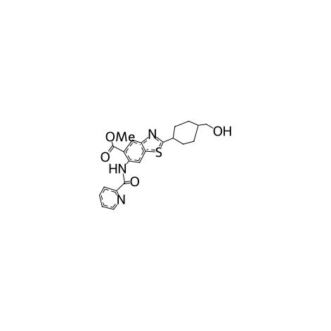 COC(=O)c1cc2nc(C3CCC(CO)CC3)sc2cc1NC(=O)c1ccccn1